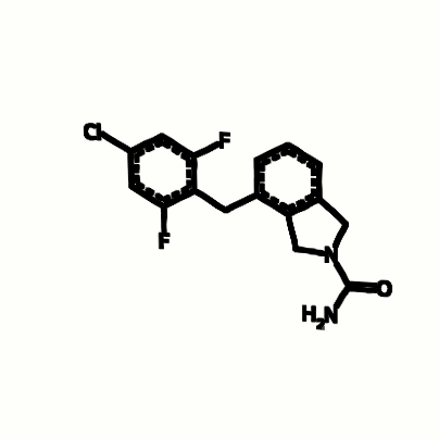 NC(=O)N1Cc2cccc(Cc3c(F)cc(Cl)cc3F)c2C1